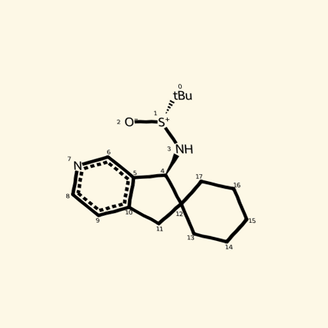 CC(C)(C)[S@@+]([O-])N[C@@H]1c2cnccc2CC12CCCCC2